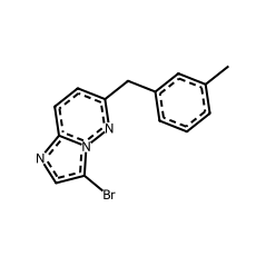 Cc1cccc(Cc2ccc3ncc(Br)n3n2)c1